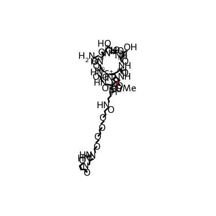 CC[C@H](C)[C@@H]1NC(=O)CNC(=O)[C@@H]2Cc3c([nH]c4c(CSCCCCNC(=O)CCOCCOCCOCCOCCN5C=C(CN6C(=O)C=CC6=O)NN5)c(OC)ccc34)[S+]([O-])C[C@H](NC(=O)CNC1=O)C(=O)N[C@@H](CC(N)=O)C(=O)N1C[C@H](O)C[C@H]1C(=O)N[C@@H]([C@@H](C)[C@@H](O)CO)C(=O)N2